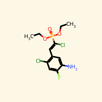 CCOP(=O)(OCC)C(Cl)=Cc1cc(N)c(F)cc1Cl